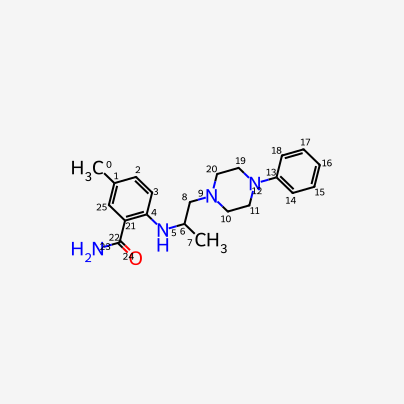 Cc1ccc(NC(C)CN2CCN(c3ccccc3)CC2)c(C(N)=O)c1